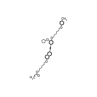 C=CC(=O)OCCCCCCOc1ccc2cc(C#Cc3ccc(OCCCCCCOc4ccc(C)cc4)c(OC4CCCC4)c3)ccc2c1